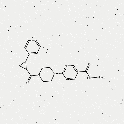 CCCCCCNC(=O)c1ccc(N2CCN(C(=O)C3CC3c3ccccc3)CC2)nc1